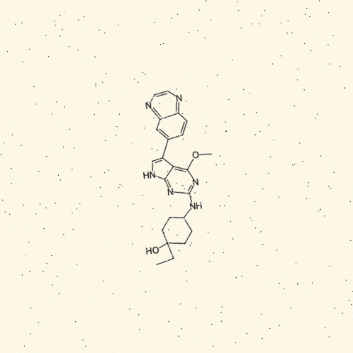 CCC1(O)CCC(Nc2nc(OC)c3c(-c4ccc5nccnc5c4)c[nH]c3n2)CC1